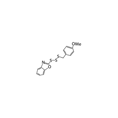 COc1ccc(CSSSc2nc3ccccc3o2)cc1